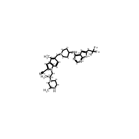 Cc1c(CN2CCC(Nc3ncnc4sc(CC(F)(F)F)cc34)CC2)ccc2c1cc(C#N)n2C[C@H](C)N1CCN[C@@H](C)C1